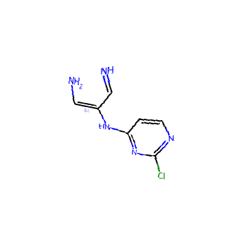 N=C/C(=C\N)Nc1ccnc(Cl)n1